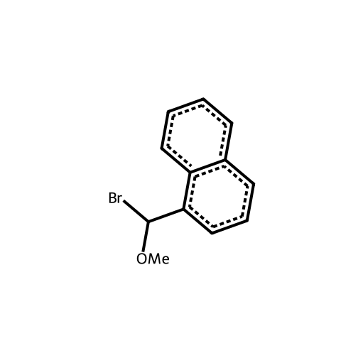 COC(Br)c1cccc2ccccc12